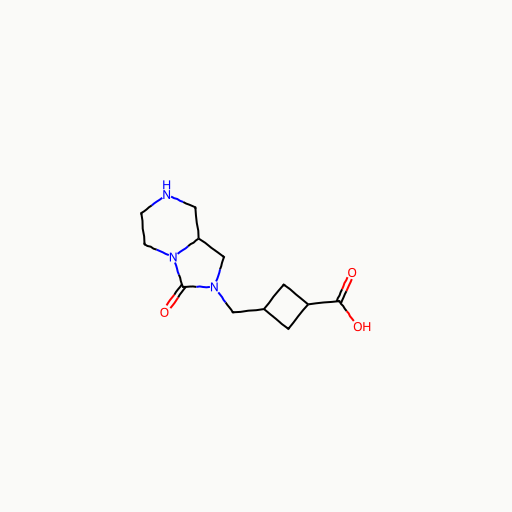 O=C(O)C1CC(CN2CC3CNCCN3C2=O)C1